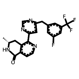 C[C@@H]1Cc2c(ccnc2-c2cc(Cc3cc(F)cc(C(F)(F)F)c3)ncn2)C(=O)N1